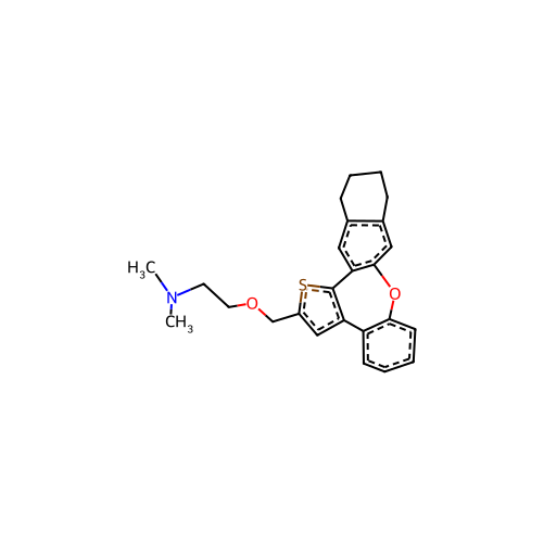 CN(C)CCOCc1cc2c(s1)-c1cc3c(cc1Oc1ccccc1-2)CCCC3